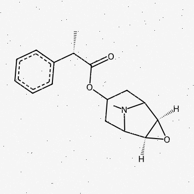 C[C@H](C(=O)OC1CC2[C@H]3O[C@H]3C(C1)N2C)c1ccccc1